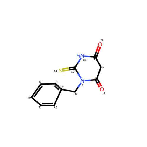 O=C1CC(=O)N(Cc2ccccc2)C(=S)N1